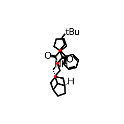 CC(C)(C)CCCC(=O)CCCC1C2CC[C@@H]1C[C@@H](CNC(=O)C1(c3ccccc3)CCCC1)C2